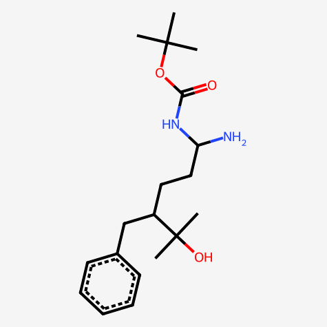 CC(C)(C)OC(=O)NC(N)CCC(Cc1ccccc1)C(C)(C)O